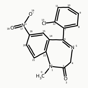 CN1C(=O)CN=C(c2ccccc2Cl)c2cc([N+](=O)[O-])ccc21